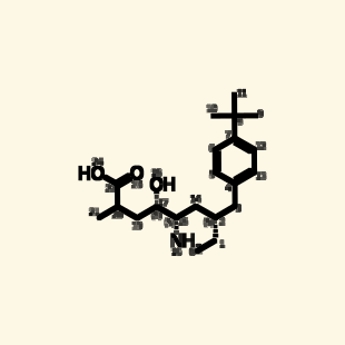 CC[C@@H](Cc1ccc(C(C)(C)C)cc1)C[C@H](N)[C@@H](O)CC(C)C(=O)O